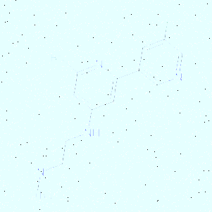 CC(C)(C)NCCNc1cc(Br)nc(-c2cncc(F)c2)c1